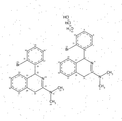 CN(C)C1=NC(c2ccccc2Br)c2ccccc2C1.CN(C)C1=NC(c2ccccc2Br)c2ccccc2C1.Cl.Cl.O